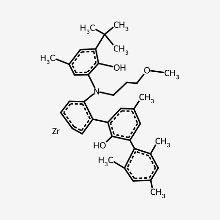 COCCCN(c1ccccc1-c1cc(C)cc(-c2c(C)cc(C)cc2C)c1O)c1cc(C)cc(C(C)(C)C)c1O.[Zr]